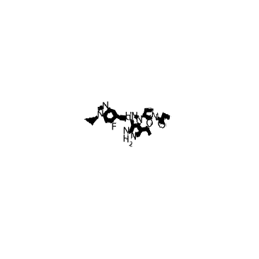 C=CC(=O)N1CC[C@H](N2N[C@@H](C#Cc3cc4ncn(C5CC5)c4cc3F)c3c(N)ncc(C(C)=O)c32)C1